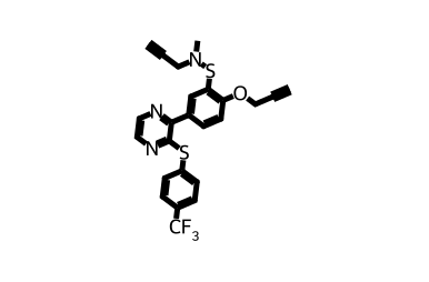 C#CCOc1ccc(-c2nccnc2Sc2ccc(C(F)(F)F)cc2)cc1SN(C)CC#C